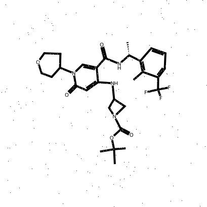 Cc1c([C@@H](C)NC(=O)c2cn(C3CCOCC3)c(=O)cc2NC2CN(C(=O)OC(C)(C)C)C2)cccc1C(F)(F)F